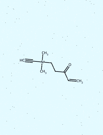 C#C[N+](C)(C)CCC(=O)C=C